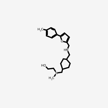 Cc1ccc(-c2ccc(CNCC3CCC(CN(C)CCO)CC3)o2)cc1